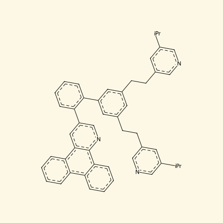 CC(C)c1cncc(CCc2cc(CCc3cncc(C(C)C)c3)cc(-c3ccccc3-c3cnc4c5ccccc5c5ccccc5c4c3)c2)c1